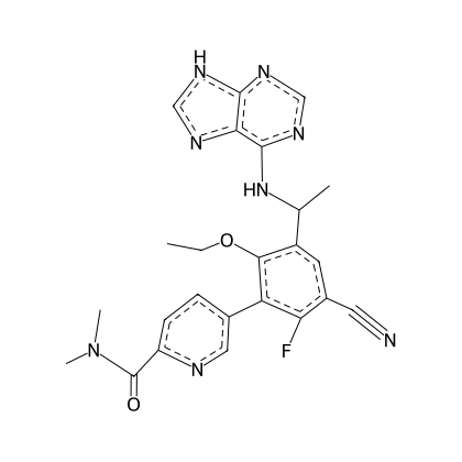 CCOc1c(C(C)Nc2ncnc3[nH]cnc23)cc(C#N)c(F)c1-c1ccc(C(=O)N(C)C)nc1